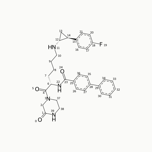 O=C1CN(C(=O)[C@H](CCCCN[C@@H]2C[C@H]2c2ccc(F)cc2)NC(=O)c2ccc(-c3ccccc3)cc2)CCN1